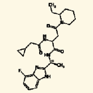 CCC1CCCCN1C(=O)CC(NC(=O)CC1CC1)C(=O)N[C@@H](C)c1nc2c(F)cccc2[nH]1